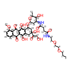 CCCOCCOCCNC(=O)CCC(=O)N[C@H]1CC(O[C@H]2C[C@](O)(C(=O)CO)Cc3c(O)c4c(c(O)c32)C(=O)c2c(OC)cccc2C4=O)O[C@@H](C)[C@H]1O